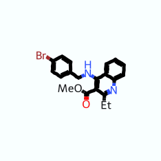 CCc1nc2ccccc2c(NCc2ccc(Br)cc2)c1C(=O)OC